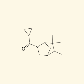 CC1C2CC(C(=O)C3CC3)C(C2)C1(C)C